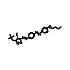 CCCCOc1ccc(/N=N/c2ccc(/N=N/c3snc(CC(C)(C)C)c3F)cc2)cc1